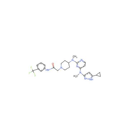 CN(c1cc(C2CC2)[nH]n1)c1ccnc(N(C)C2CCN(CC(=O)Nc3cccc(C(F)(F)F)c3)CC2)n1